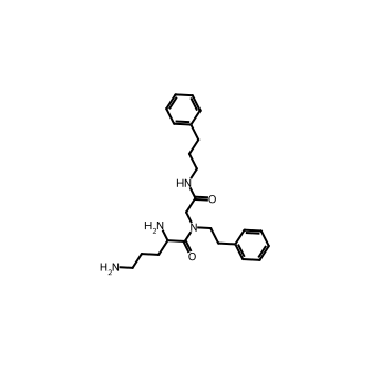 NCCCC(N)C(=O)N(CCc1ccccc1)CC(=O)NCCCc1ccccc1